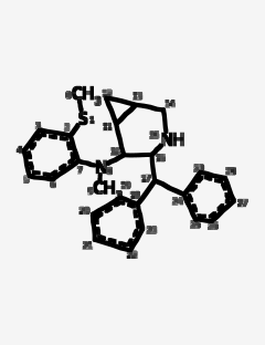 CSc1ccccc1N(C)C1C2CC2CNC1C(c1ccccc1)c1ccccc1